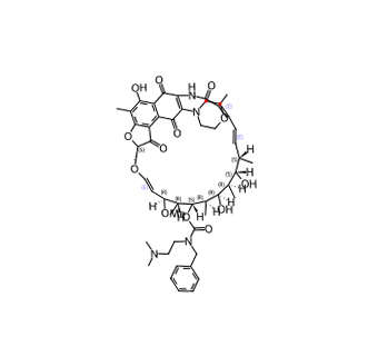 CO[C@H]1/C=C/O[C@@]2(C)Oc3c(C)c(O)c4c(c3C2=O)C(=O)C(N2CCOCC2)=C(NC(=O)/C(C)=C\C=C\[C@H](C)[C@H](O)[C@@H](C)[C@@H](O)[C@@H](C)[C@H](OC(=O)N(CCN(C)C)Cc2ccccc2)[C@@H]1C)C4=O